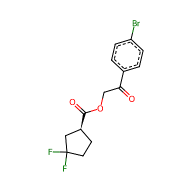 O=C(COC(=O)[C@H]1CCC(F)(F)C1)c1ccc(Br)cc1